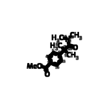 COC(=O)c1ccc(C(C)(C)C(=O)N(C)C)cc1